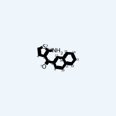 Nc1sccc1C(=O)c1ccc2ccccc2c1